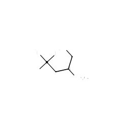 COC(C[O])CC(F)(F)F